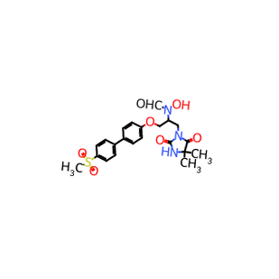 CC1(C)NC(=O)N(CC(COc2ccc(-c3ccc(S(C)(=O)=O)cc3)cc2)N(O)C=O)C1=O